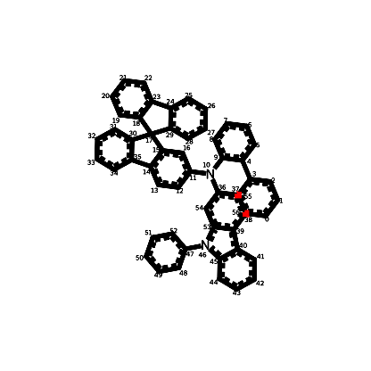 c1ccc(-c2ccccc2N(c2ccc3c(c2)C2(c4ccccc4-c4ccccc42)c2ccccc2-3)c2ccc3c4ccccc4n(-c4ccccc4)c3c2)cc1